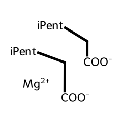 CCCC(C)CC(=O)[O-].CCCC(C)CC(=O)[O-].[Mg+2]